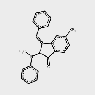 CN(c1ccccn1)N1C(=O)c2ccc(C(F)(F)F)cc2C1=Cc1ccccc1